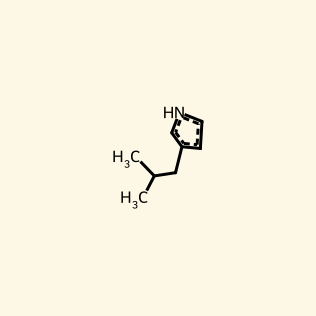 CC(C)Cc1cc[nH]c1